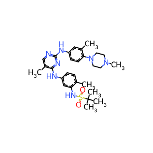 Cc1ccc(Nc2nc(Nc3ccc(N4CCN(C)CC4)c(C)c3)ncc2C)cc1NS(=O)(=O)C(C)(C)C